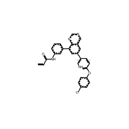 C=CC(=O)Nc1cccc(-c2cc(C(/C=C\C(=C)Oc3ccc(Cl)cc3)=C/N)cc3cncnc23)c1